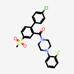 CS(=O)(=O)c1ccc(-c2ccc(Cl)cc2)c(C(=O)N2CCN(c3ccccc3F)CC2)c1